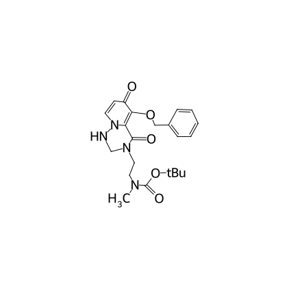 CN(CCN1CNn2ccc(=O)c(OCc3ccccc3)c2C1=O)C(=O)OC(C)(C)C